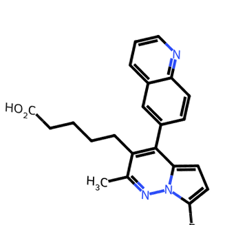 CCc1ccc2c(-c3ccc4ncccc4c3)c(CCCCC(=O)O)c(C)nn12